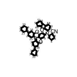 N#Cc1ccccc1N(c1cc2c3c(c1)Oc1cc(-c4ccccc4)ccc1B3c1ccc(-c3ccccc3)cc1O2)c1cccc2c1oc1ccccc12